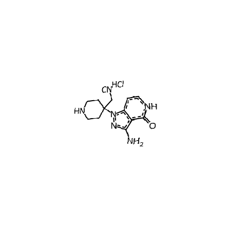 Cl.N#CCC1(n2nc(N)c3c(=O)[nH]ccc32)CCNCC1